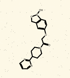 O=C(COc1ccc2c(c1)COB2O)N1CCC(c2ncccn2)CC1